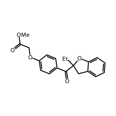 CCC1(C(=O)c2ccc(OCC(=O)OC)cc2)Cc2ccccc2O1